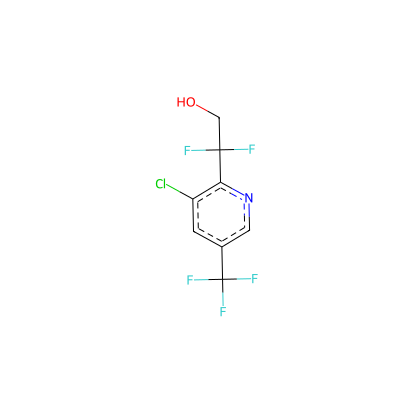 OCC(F)(F)c1ncc(C(F)(F)F)cc1Cl